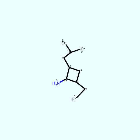 CCC(CC1CC(CC(C)C)C1N)C(C)C